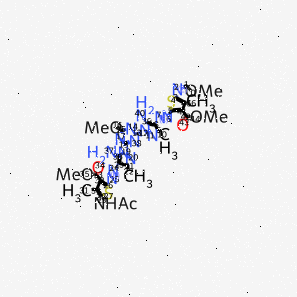 CO/C=N\c1sc(/N=N/c2c(C)nn(-c3nc(OC)nc(-n4nc(C)c(/N=N/c5sc(NC(C)=O)c(C)c5C(=O)OC)c4N)n3)c2N)c(C(=O)OC)c1C